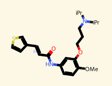 COc1ccc(NC(=O)/C=C/c2ccsc2)cc1OCCCN(C(C)C)C(C)C